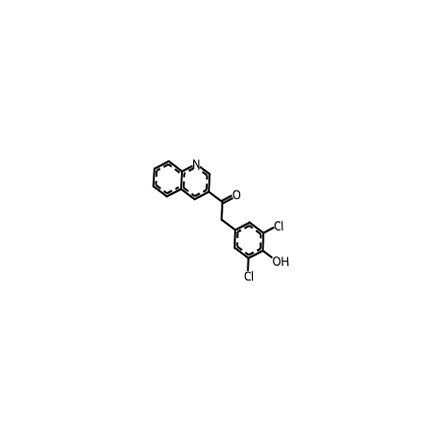 O=C(Cc1cc(Cl)c(O)c(Cl)c1)c1cnc2ccccc2c1